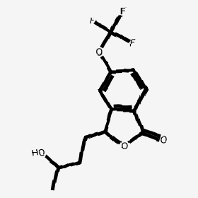 CC(O)CCC1OC(=O)c2ccc(OC(F)(F)F)cc21